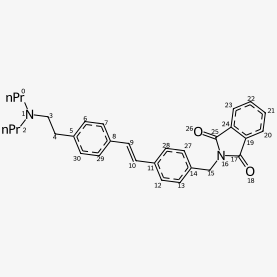 CCCN(CCC)CCc1ccc(C=Cc2ccc(CN3C(=O)c4ccccc4C3=O)cc2)cc1